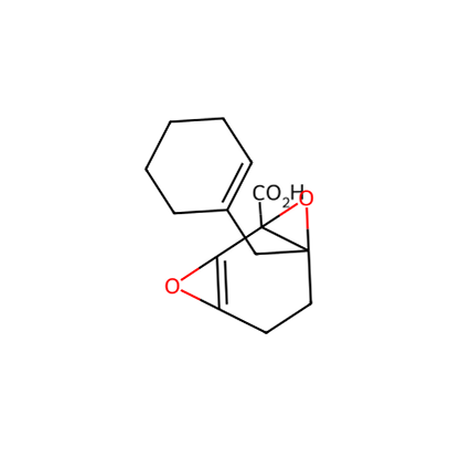 O=C(O)C12OC1(CC1=CCCCC1)CCC1=C2O1